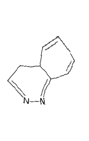 C1=CC2=NN=CCC2C=C1